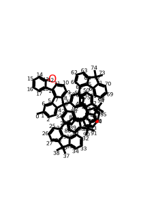 Cc1ccc2c(c1)-c1c(ccc3oc4ccccc4c13)C2(c1cc(-c2cccc3c2-c2ccccc2C3(C)C)cc(-c2cccc3c2-c2ccccc2C3(C)C)c1)c1cc(-c2cccc3c2-c2ccccc2C3(C)C)cc(-c2cccc3c2-c2ccccc2C3(C)C)c1